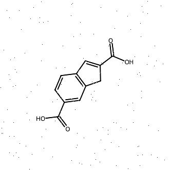 O=C(O)C1=Cc2ccc(C(=O)O)cc2C1